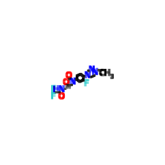 CCN1CCN(c2ccc(N3C[C@H](CNC(=O)C(F)F)OC3=O)cc2F)C=N1